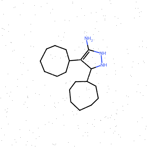 NC1=C(C2CCCCCCC2)C(C2CCCCCCC2)NN1